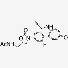 C#CCNc1ccc(=O)ccc1-c1ccc(N2CC(CNC(C)=O)OC2=O)cc1F